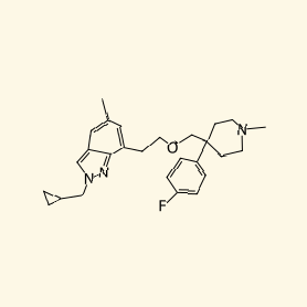 Cc1cc(CCOCC2(c3ccc(F)cc3)CCN(C)CC2)c2nn(CC3CC3)cc2c1